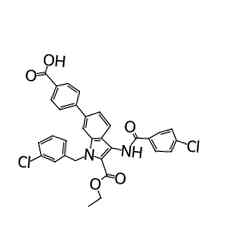 CCOC(=O)c1c(NC(=O)c2ccc(Cl)cc2)c2ccc(-c3ccc(C(=O)O)cc3)cc2n1Cc1cccc(Cl)c1